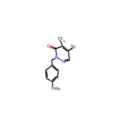 [2H]c1cnn(Cc2ccc(OC)cc2)c(=O)c1C(F)(F)F